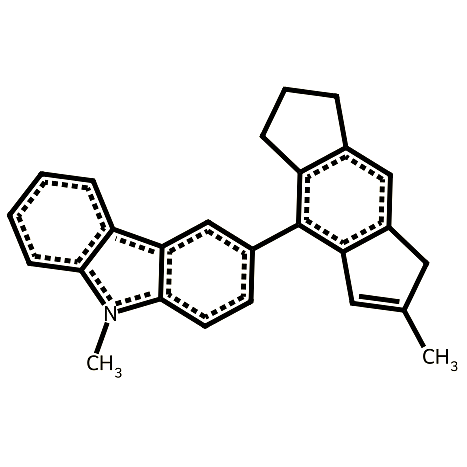 CC1=Cc2c(cc3c(c2-c2ccc4c(c2)c2ccccc2n4C)CCC3)C1